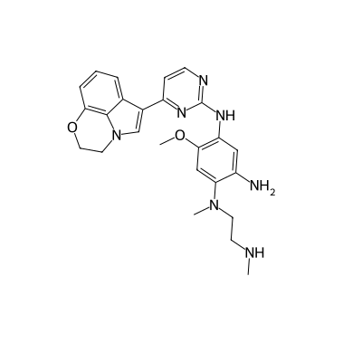 CNCCN(C)c1cc(OC)c(Nc2nccc(-c3cn4c5c(cccc35)OCC4)n2)cc1N